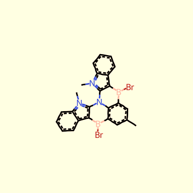 Cc1cc2c3c(c1)B(Br)c1c(n(C)c4ccccc14)N3c1c(c3ccccc3n1C)B2Br